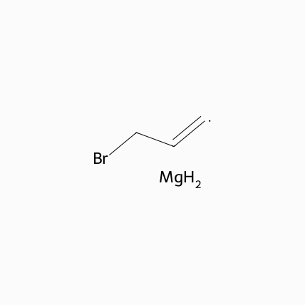 [CH]=CCBr.[MgH2]